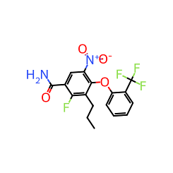 CCCc1c(F)c(C(N)=O)cc([N+](=O)[O-])c1Oc1ccccc1C(F)(F)F